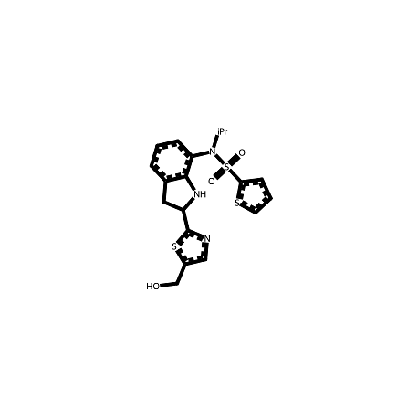 CC(C)N(c1cccc2c1NC(c1ncc(CO)s1)C2)S(=O)(=O)c1cccs1